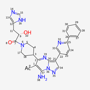 CC(=O)c1c(C2CCN(C(=O)[C@@H](O)Cc3cnc[nH]3)CC2)nc2c(-c3ccc(-c4ccccc4)nc3)cnn2c1N